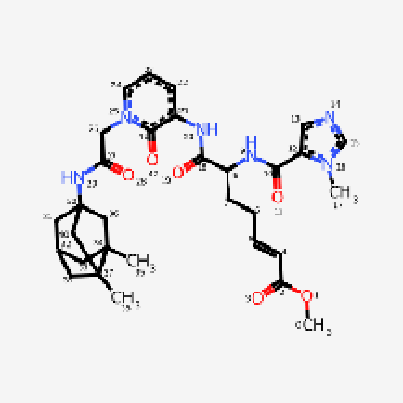 COC(=O)/C=C/CC[C@H](NC(=O)c1cncn1C)C(=O)Nc1cccn(CC(=O)NC23CC4CC(C)(C2)C(C)(C4)C3)c1=O